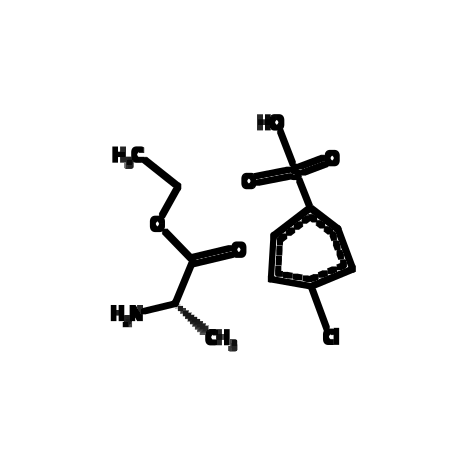 CCOC(=O)[C@H](C)N.O=S(=O)(O)c1ccc(Cl)cc1